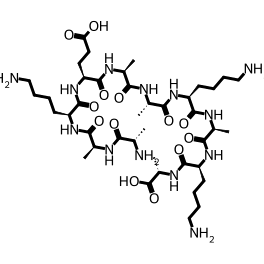 C[C@H](N)C(=O)N[C@@H](C)C(=O)N[C@@H](CCCCN)C(=O)N[C@@H](CCC(=O)O)C(=O)N[C@@H](C)C(=O)N[C@@H](C)C(=O)N[C@@H](CCCCN)C(=O)N[C@@H](C)C(=O)N[C@@H](CCCCN)C(=O)N[C@@H](C)C(=O)O